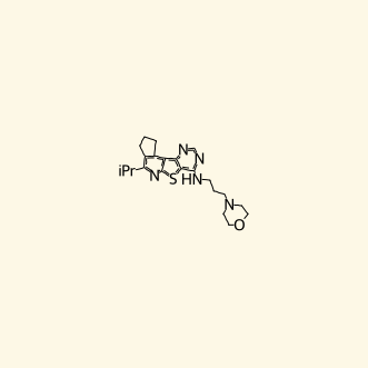 CC(C)c1nc2sc3c(NCCCN4CCOCC4)ncnc3c2c2c1CCC2